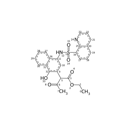 CCOC(=O)C(C(C)=O)c1cc(NS(=O)(=O)c2cccc3cccnc23)c2ccccc2c1O